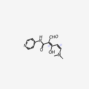 CN(C)/C=C\C(O)=C(/C=O)C(=O)Nc1ccncc1